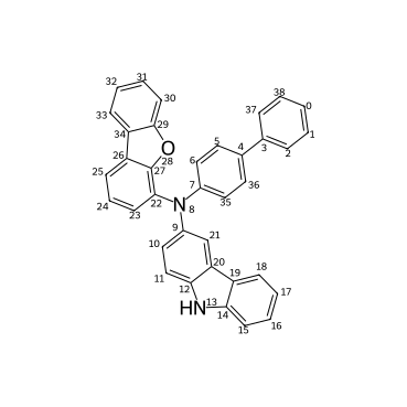 c1ccc(-c2ccc(N(c3ccc4[nH]c5ccccc5c4c3)c3cccc4c3oc3ccccc34)cc2)cc1